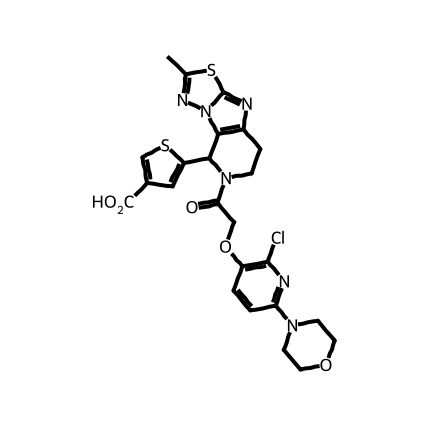 Cc1nn2c3c(nc2s1)CCN(C(=O)COc1ccc(N2CCOCC2)nc1Cl)C3c1cc(C(=O)O)cs1